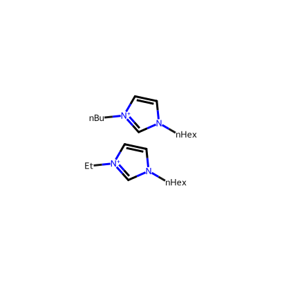 CCCCCCn1cc[n+](CC)c1.CCCCCCn1cc[n+](CCCC)c1